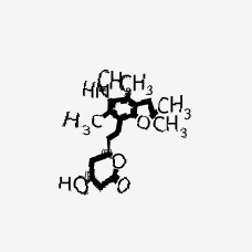 CNc1c(C)c(CC[C@@H]2C[C@@H](O)CC(=O)O2)c2c(c1C)CC(C)(C)O2